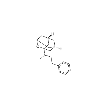 CN(CCc1ccccc1)C12C[C@@H]3CC(C[C@@H](C3)C1)O2